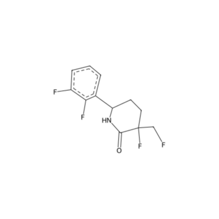 O=C1NC(c2cccc(F)c2F)CCC1(F)CF